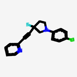 FC1(C#Cc2ccccn2)CCN(c2ccc(Cl)cc2)C1